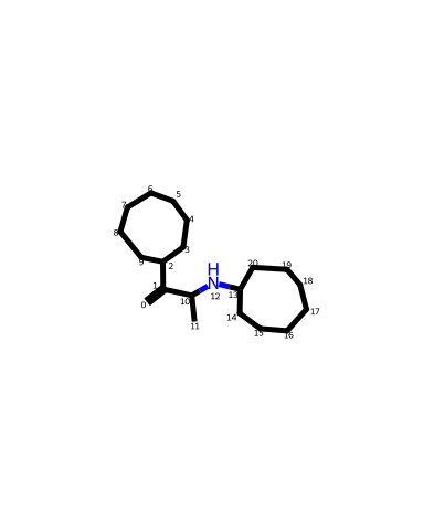 C=C(C1CCCCCCC1)C(C)NC1CCCCCCC1